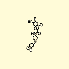 O=C(NC1CCN(Cc2ccc3c(c2)OCO3)CC1)c1cc(=O)c2cc(F)c(Br)cc2o1